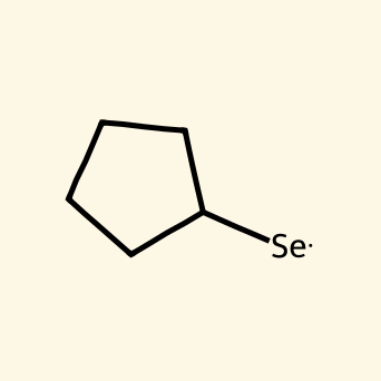 [Se]C1CCCC1